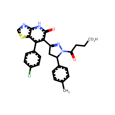 Cc1ccc(C2CC(c3c(-c4ccc(Cl)cc4)c4scnc4[nH]c3=O)=NN2C(=O)CCC(=O)O)cc1